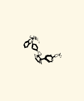 Cc1ccc(-c2nccnc2Oc2ccc(N3c4ccccc4SC3N)cc2)cn1